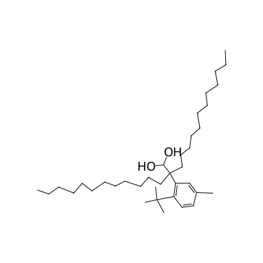 CCCCCCCCCCCCC(CCCCCCCCCCCC)(c1cc(C)ccc1C(C)(C)C)C(O)O